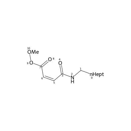 CCCCCCCCNC(=O)/C=C\C(=O)OOC